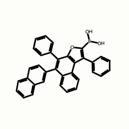 OB(O)c1oc2c(-c3ccccc3)c(-c3ccc4ccccc4c3)c3ccccc3c2c1-c1ccccc1